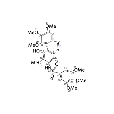 COc1cc(/C=C\c2cc(O)c(OC)c(NS(=O)(=O)c3cc(OC)c(OC)c(OC)c3)c2)cc(OC)c1OC